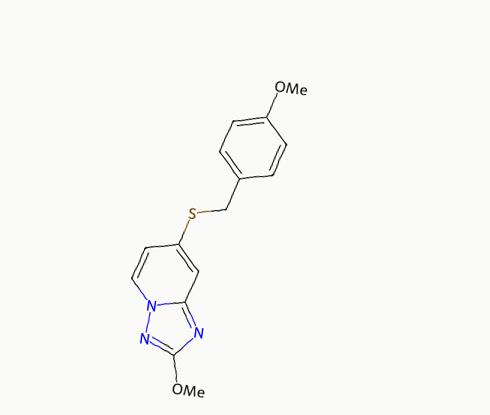 COc1ccc(CSc2ccn3nc(OC)nc3c2)cc1